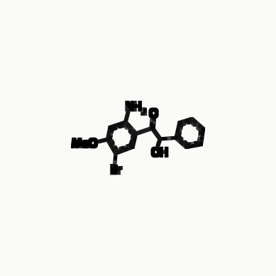 COc1cc(N)c(C(=O)C(O)c2ccccc2)cc1Br